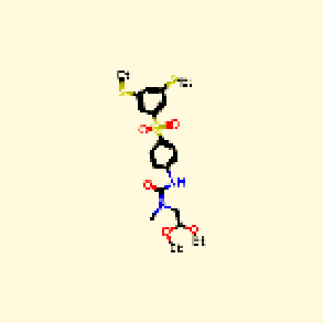 CCOC(CN(C)C(=O)Nc1ccc(S(=O)(=O)c2cc(SCC)cc(SCC)c2)cc1)OCC